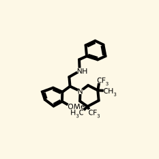 COc1ccccc1C(CNCc1ccccc1)N1CC(C)(C(F)(F)F)CC(C)(C(F)(F)F)C1